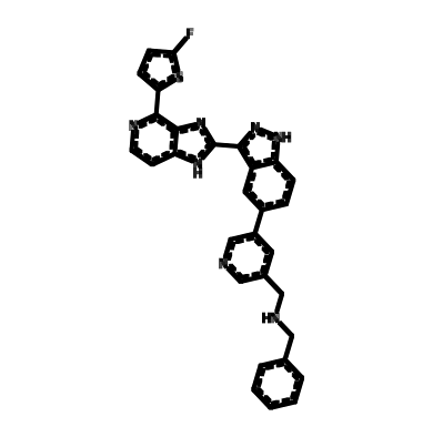 Fc1ccc(-c2nccc3[nH]c(-c4n[nH]c5ccc(-c6cncc(CNCc7ccccc7)c6)cc45)nc23)s1